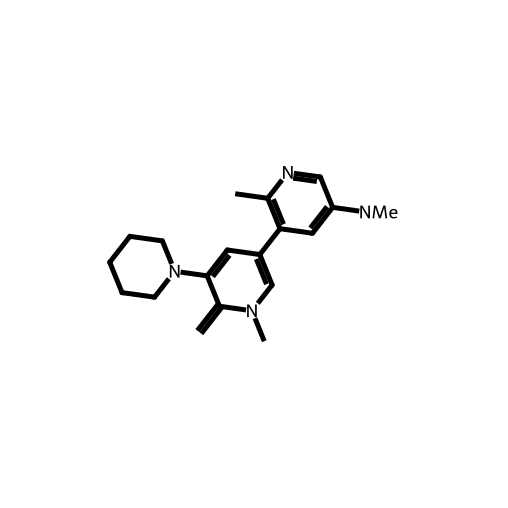 C=C1C(N2CCCCC2)=CC(c2cc(NC)cnc2C)=CN1C